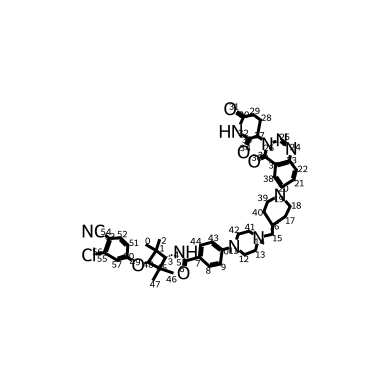 CC1(C)[C@H](NC(=O)c2ccc(N3CCN(CC4CCN(c5ccc6nnn(C7CCC(=O)NC7=O)c(=O)c6c5)CC4)CC3)cc2)C(C)(C)[C@H]1Oc1ccc(C#N)c(Cl)c1